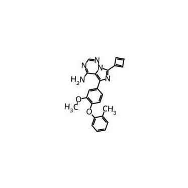 COc1cc(-c2nc(C3=CC=C3)n3ncnc(N)c23)ccc1Oc1ccccc1C